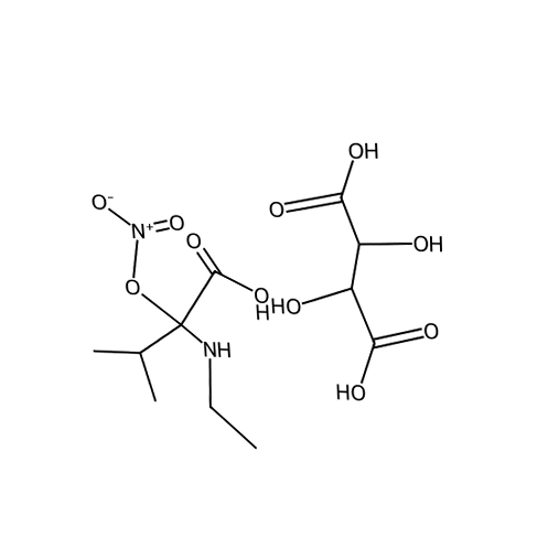 CCNC(O[N+](=O)[O-])(C(=O)O)C(C)C.O=C(O)C(O)C(O)C(=O)O